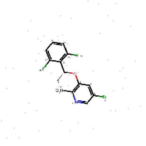 C[C@@H](Oc1cc(Br)cnc1[N+](=O)[O-])c1c(F)cccc1F